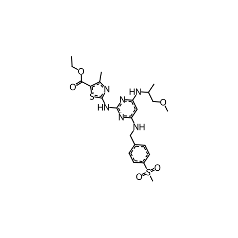 CCOC(=O)c1sc(Nc2nc(NCc3ccc(S(C)(=O)=O)cc3)cc(NC(C)COC)n2)nc1C